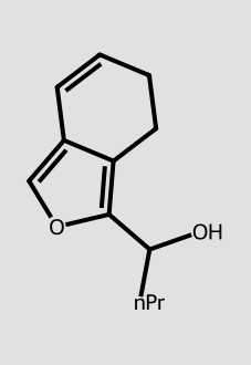 CCCC(O)c1occ2c1CCC=C2